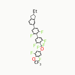 CCC1Cc2ccc(-c3cc(F)c(-c4cc(F)c(C(F)(F)Oc5cc(F)c(OC(F)(F)F)c(F)c5)c(F)c4)c(F)c3)cc2C1